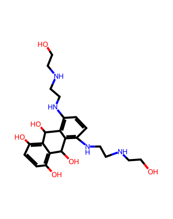 OCCNCCNc1ccc(NCCNCCO)c2c1C(O)c1c(O)ccc(O)c1C2O